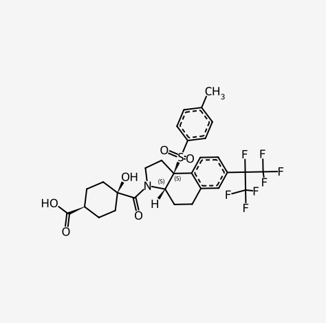 Cc1ccc(S(=O)(=O)[C@]23CCN(C(=O)[C@]4(O)CC[C@@H](C(=O)O)CC4)[C@H]2CCc2cc(C(F)(C(F)(F)F)C(F)(F)F)ccc23)cc1